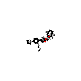 COCOc1cc(-n2cccn2)ccc1-c1ccc(O[C@@H]2C[C@H]3CC[C@@H]([C@@H]2F)N3C(=O)OC(C)(C)C)nn1